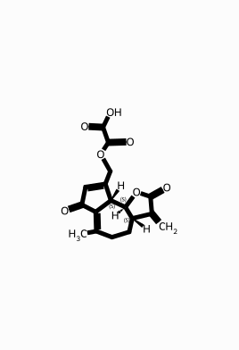 C=C1C(=O)O[C@@H]2[C@H]3C(COC(=O)C(=O)O)=CC(=O)C3=C(C)CC[C@@H]12